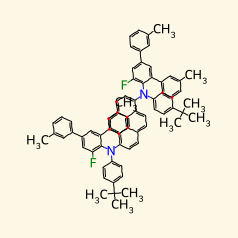 Cc1cccc(-c2cc(F)c(N(c3ccc(C(C)(C)C)cc3)c3ccc4ccc5c(N(c6ccc(C(C)(C)C)cc6)c6c(F)cc(-c7cccc(C)c7)cc6-c6cccc(C)c6)ccc6ccc3c4c65)c(-c3cccc(C)c3)c2)c1